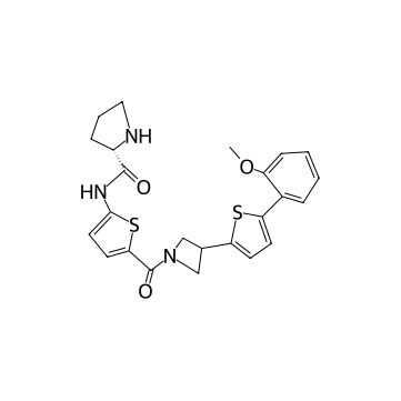 COc1ccccc1-c1ccc(C2CN(C(=O)c3ccc(NC(=O)[C@@H]4CCCN4)s3)C2)s1